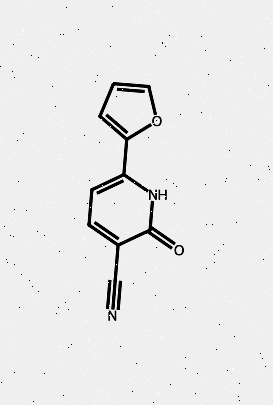 N#Cc1ccc(-c2ccco2)[nH]c1=O